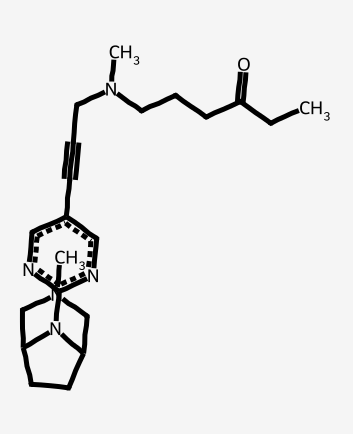 CCC(=O)CCCN(C)CC#Cc1cnc(N2C3CCC2CN(C)C3)nc1